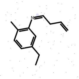 C=CC/C=N\c1cc(CC)ccc1C